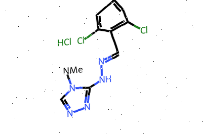 CNn1cnnc1NN=Cc1c(Cl)cccc1Cl.Cl